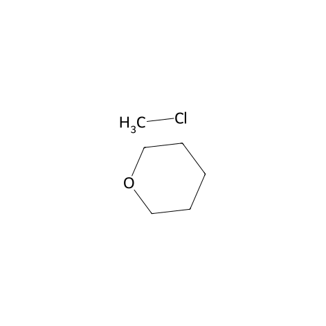 C1CCOCC1.CCl